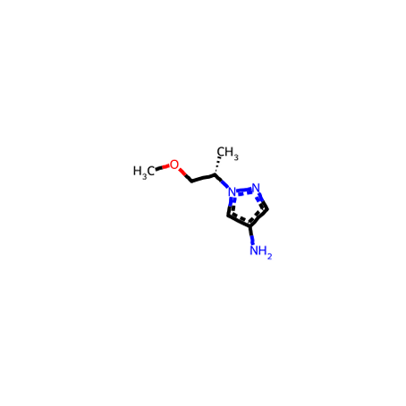 COC[C@H](C)n1cc(N)cn1